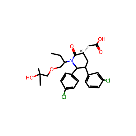 CCC(COCC(C)(C)O)N1C(=O)[C@H](CC(=O)O)CC(c2cccc(Cl)c2)C1c1ccc(Cl)cc1